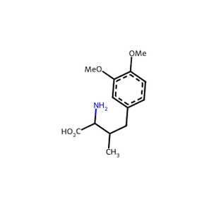 COc1ccc(CC(C)C(N)C(=O)O)cc1OC